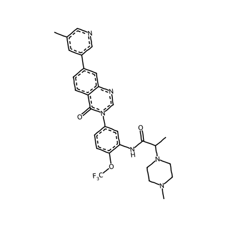 Cc1cncc(-c2ccc3c(=O)n(-c4ccc(OC(F)(F)F)c(NC(=O)C(C)N5CCN(C)CC5)c4)cnc3c2)c1